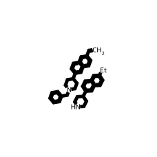 C=Cc1ccc2cc(C3CCN(Cc4ccccc4)CC3)ccc2c1.CCc1ccc2cc(C3CCNCC3)ccc2c1